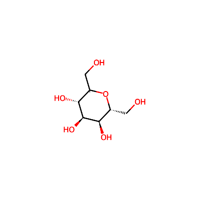 OC[C]1O[C@H](CO)[C@@H](O)[C@@H](O)[C@@H]1O